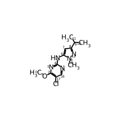 COc1nc(Nc2cc(C(C)C)nn2C)ncc1Cl